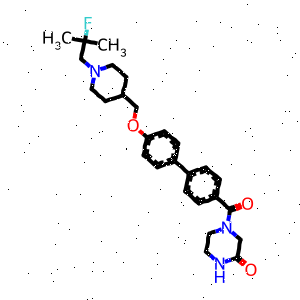 CC(C)(F)CN1CCC(COc2ccc(-c3ccc(C(=O)N4CCNC(=O)C4)cc3)cc2)CC1